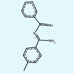 Cc1ccc(/C(N)=N/C(=N)c2ccccc2)cc1